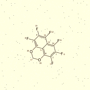 Fc1c(F)c2c3c(c(F)c(F)c(F)c3c1F)OCO2